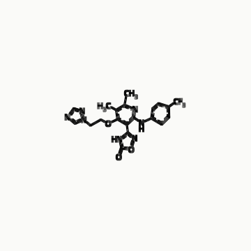 Cc1nc(Nc2ccc(C(F)(F)F)cc2)c(-c2noc(=O)[nH]2)c(OCCn2cncn2)c1C